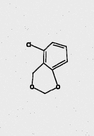 Clc1cccc2c1COCO2